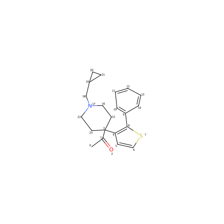 CC(=O)C1(c2ccsc2-c2ccccc2)CCN(CC2CC2)CC1